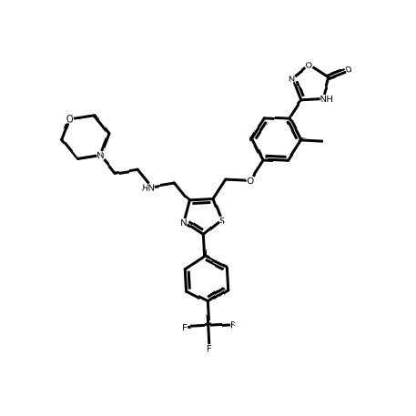 Cc1cc(OCc2sc(-c3ccc(C(F)(F)F)cc3)nc2CNCCN2CCOCC2)ccc1-c1noc(=O)[nH]1